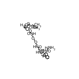 COC1C(OC(=O)NCCOCCOCCNC(=O)CNN[C@@H](CC(C)C)C(=O)C(=O)[C@H](Cc2ccccc2)NC(=O)CN)CC[C@]2(CO2)C1C1(C)O[C@@H]1CC=C(C)C